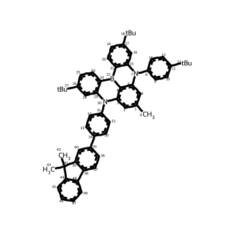 Cc1cc2c3c(c1)N(c1ccc(C(C)(C)C)cc1)c1cc(C(C)(C)C)ccc1B3c1ccc(C(C)(C)C)cc1N2c1ccc(-c2ccc3c(c2)C(C)(C)c2ccccc2-3)cc1